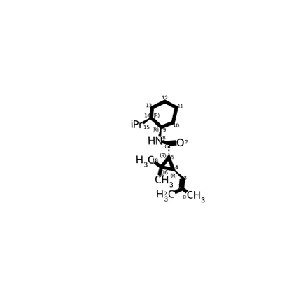 CC(C)=C[C@@H]1[C@@H](C(=O)N[C@@H]2CCCC[C@@H]2C(C)C)C1(C)C